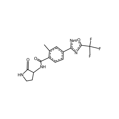 Cc1cc(-c2noc(C(F)(F)F)n2)ccc1C(=O)NC1CCNC1=O